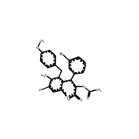 COc1ccc(Cc2c(C)c(Cl)cc3oc(=O)c(OC(C)=O)c(-c4cccc(Br)c4)c23)cc1